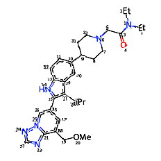 CCN(CC)C(=O)CN1CCC(c2ccc3[nH]c(-c4cc(COC)c5ncnn5c4)c(C(C)C)c3c2)CC1